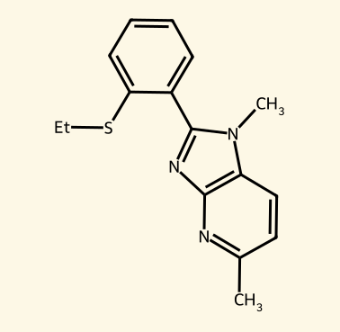 CCSc1ccccc1-c1nc2nc(C)ccc2n1C